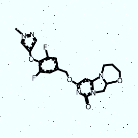 Cn1cc(Oc2c(F)cc(COc3cc4n(c(=O)n3)CC3OCCCN43)cc2F)cn1